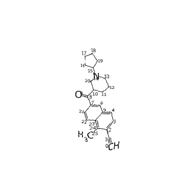 C#Cc1ccc2cc(C(=O)C3CCCN(C4CCCC4)C3)ccc2c1C